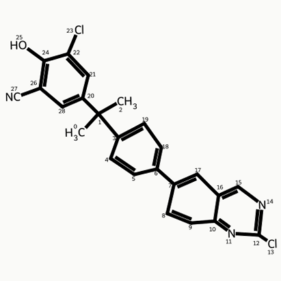 CC(C)(c1ccc(-c2ccc3nc(Cl)ncc3c2)cc1)c1cc(Cl)c(O)c(C#N)c1